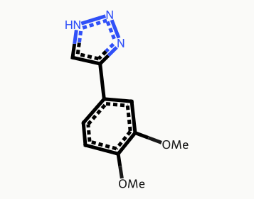 COc1ccc(-c2c[nH]nn2)cc1OC